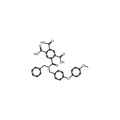 COc1ccc(Oc2ccc(CN(Cc3ccccc3)C(=O)c3cc(C(=O)O)c(C(=O)O)cc3C(=O)O)cc2)cc1